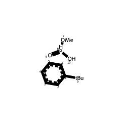 CC(C)(C)c1ccccc1.CO[PH](=O)O